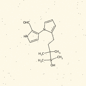 CC(C)(CCc1cccn1-c1cc[nH]c1C=O)[Si](C)(C)O